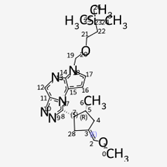 CO/C=C1\C[C@@H](C)[C@@H](c2nnc3cnc4c(ccn4COCC[Si](C)(C)C)n23)C1